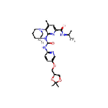 Cc1cc(C(=O)NC(C)C(F)(F)F)nc2c1N1CCC[C@@H](C1)N2C(=O)Nc1ccc(OCC2COC(C)(C)O2)cn1